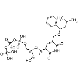 CC(C)CC(OCc1cn([C@H]2C[C@@H](O)[C@@H](COP(=O)(O)OP(=O)(O)OP(=O)(O)O)O2)c(=O)[nH]c1=O)c1ccccc1